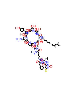 CC[C@H](C)C[C@H](C)CCCCCCCCC(=O)N[C@H]1C[C@@H](O)[C@@H](OCCNC(=O)[C@@H](N)CCCCNC(=O)[C@H](Cc2ccccc2)NC(=O)[C@H](CC(C)C)NC(=O)[C@H](CCSC)NC=O)NC(=O)[C@@H]2[C@@H](O)CCN2C(=O)[C@H]([C@H](O)CCN)NC(=O)[C@H]([C@H](O)[C@@H](O)c2ccc(O)cc2)NC(=O)[C@@H]2C[C@@H](O)CN2C(=O)[C@H]([C@@H](C)O)NC1=O